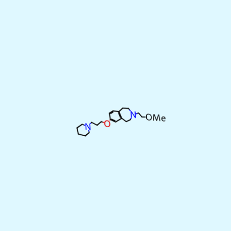 COCCN1CCc2ccc(OCCCN3CCCCC3)cc2CC1